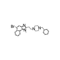 Cn1c(CCN2CCN(Cc3ccccc3)CC2)nc2cc(Br)c3ccccc3c21